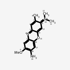 COc1cc2nc3cc(C)c(=[N+](C)C)cc-3oc2cc1N